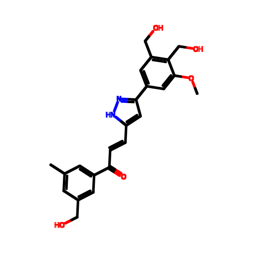 COc1cc(-c2cc(/C=C/C(=O)c3cc(C)cc(CO)c3)[nH]n2)cc(CO)c1CO